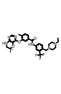 CCN1CCN(Cc2ccc(NC(=O)c3ccc(C)c(Oc4ncnc5c4O[C@@H](C)CN5)c3)cc2C(F)(F)F)CC1